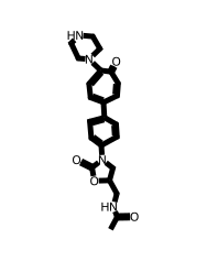 CC(=O)NCC1CN(c2ccc(-c3ccc(N4CCNCC4)c(=O)cc3)cc2)C(=O)O1